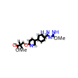 COC(=N)/N=C(\N)c1ccc(-c2ccc(OCC(C)(C)C(=O)OC)nc2)cc1